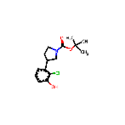 CC(C)(C)OC(=O)N1CCC(c2cccc(O)c2Cl)C1